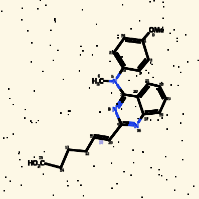 COc1ccc(N(C)c2nc(/C=C/CCCC(=O)O)nc3ccccc23)cc1